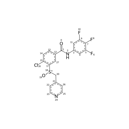 O=C(Nc1cc(F)c(F)c(F)c1)c1ccc(Cl)c([S+]([O-])Cc2ccncc2)c1